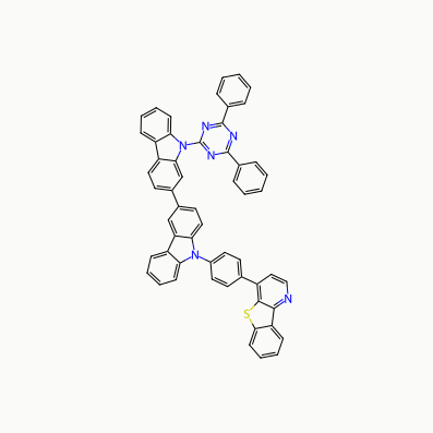 c1ccc(-c2nc(-c3ccccc3)nc(-n3c4ccccc4c4ccc(-c5ccc6c(c5)c5ccccc5n6-c5ccc(-c6ccnc7c6sc6ccccc67)cc5)cc43)n2)cc1